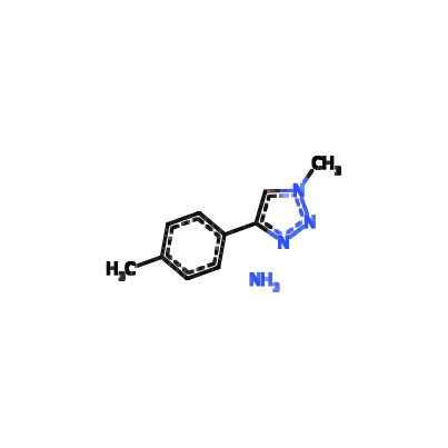 Cc1ccc(-c2cn(C)nn2)cc1.N